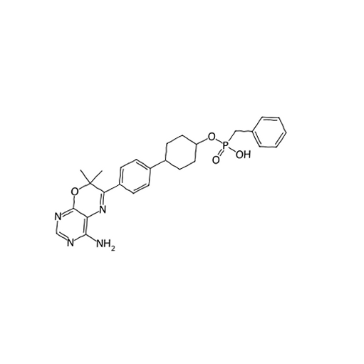 CC1(C)Oc2ncnc(N)c2N=C1c1ccc(C2CCC(OP(=O)(O)Cc3ccccc3)CC2)cc1